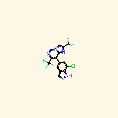 FC(F)c1cn2cnc(C(F)(F)F)c(-c3cc(Cl)c4[nH]ncc4c3)c2n1